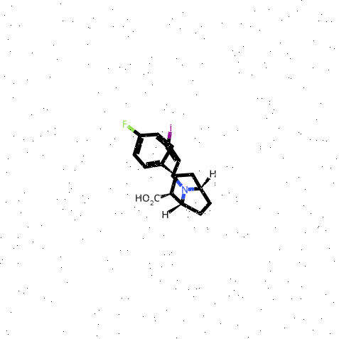 O=C(O)[C@H]1[C@@H](c2ccc(F)cc2)C[C@@H]2CC[C@H]1N2CC=CI